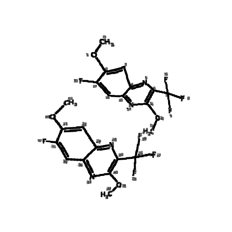 COc1cc2nc(C(F)(F)F)c(OC)nc2cc1F.COc1cc2nc(C(F)(F)F)c(OC)nc2cc1F